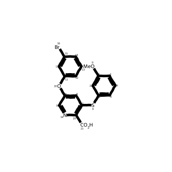 COc1cccc(Sc2cc(Oc3cccc(Br)c3)cnc2C(=O)O)c1